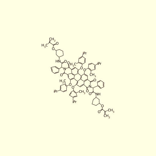 C=C(C)C(=O)OC1CCCC(NC(=O)C(c2ccccc2)N2C(=O)c3cc(Oc4ccc(C(C)C)cc4C)c4c5c(Oc6ccc(C(C)C)cc6C)cc6c7c(cc(Oc8ccc(C(C)C)cc8C)c(c8c(Oc9ccc(C(C)C)cc9C)cc(c3c48)C2=O)c75)C(=O)N(C(C(=O)NC2CCCC(OC(=O)C(=C)C)C2)c2ccccc2)C6=O)C1